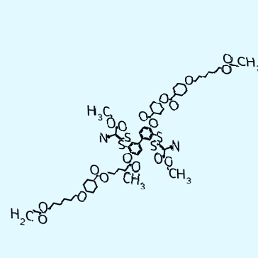 C=CC(=O)OCCCCCCOC1CCC(C(=O)OCCCC(C)C(=O)Oc2ccc(-c3ccc(OC(=O)C4CCC(OC(=O)C5CCC(OCCCCCCOC(=O)C=C)CC5)CC4)c4c3S/C(=C(/C#N)C(=O)OCC)S4)c3c2S/C(=C(\C#N)C(=O)OCC)S3)CC1